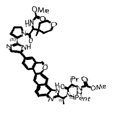 CCC[C@H](C)N(C(=O)[C@@H](NC(=O)OC)C(C)C)[C@@H](C)c1nc2ccc3cc4c(cc3c2[nH]1)OCc1cc(-c2cnc([C@@H]3CCCN3C(=O)C(NC(=O)OC)C3(C)CCOCC3)[nH]2)ccc1-4